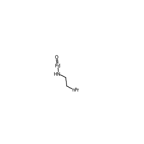 CCCCC[NH][Pd]=[O]